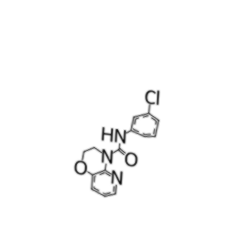 O=C(Nc1cccc(Cl)c1)N1CCOc2cccnc21